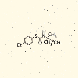 C#CC(C)(C)NC(=O)Sc1ccc(CC)cc1